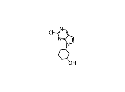 O[C@@H]1CCC[C@@H](n2ccc3cnc(Cl)nc32)C1